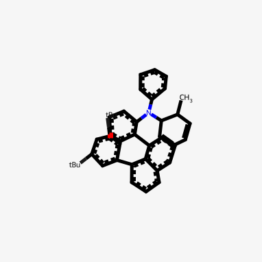 CC1C=CC=CC1N(c1ccccc1)c1ccccc1-c1cccc2cccc(-c3cc(C(C)(C)C)cc(C(C)(C)C)c3)c12